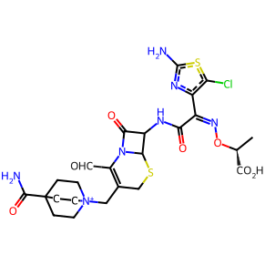 C[C@H](O/N=C(\C(=O)NC1C(=O)N2C(C=O)=C(C[N+]34CCC(C(N)=O)(CC3)CC4)CSC12)c1nc(N)sc1Cl)C(=O)O